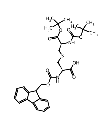 CC(C)(C)OC(=O)N[C@@H](CSC[C@H](NC(=O)OCC1c2ccccc2-c2ccccc21)C(=O)O)C(=O)OC(C)(C)C